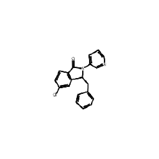 O=C1c2ccc(Cl)cc2C(Cc2ccccc2)N1c1cccnc1